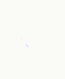 Cc1o[c]nc1-c1ccccc1